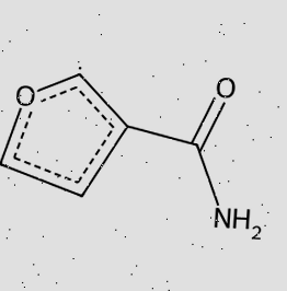 NC(=O)c1[c]occ1